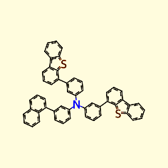 c1cc(-c2cccc3ccccc23)cc(N(c2cccc(-c3cccc4c3sc3ccccc34)c2)c2cccc(-c3cccc4c3sc3ccccc34)c2)c1